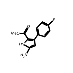 COC(=O)c1[nH]c(N)cc1-c1ccc(F)cc1